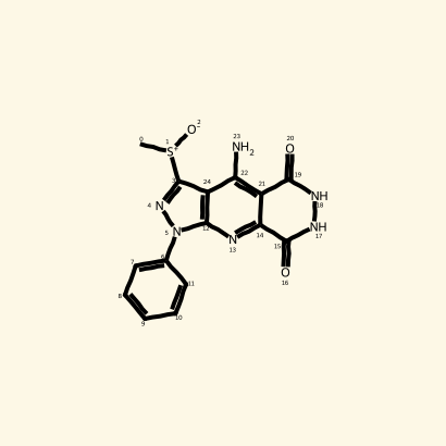 C[S+]([O-])c1nn(-c2ccccc2)c2nc3c(=O)[nH][nH]c(=O)c3c(N)c12